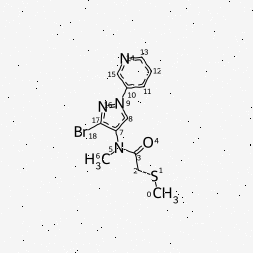 CSCC(=O)N(C)c1cn(-c2cccnc2)nc1Br